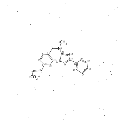 CN(Cc1ccc(/C=C/C(=O)O)cc1)c1nc(-c2ccccc2)cs1